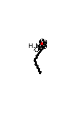 CCCCCCCC/C=C\CCCCCC(CC(=O)OC(CC)[Si](OC)(OC)OC)C(=O)CN